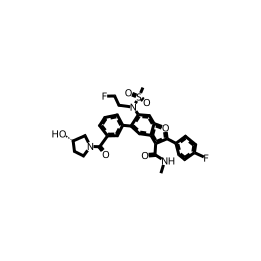 CNC(=O)c1c(-c2ccc(F)cc2)oc2cc(N(CCF)S(C)(=O)=O)c(-c3cccc(C(=O)N4CC[C@H](O)C4)c3)cc12